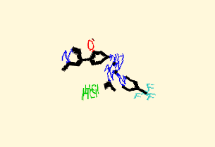 COc1cc(Nc2nc(N3CCC(C(F)(F)F)CC3)n(C(C)C)n2)ccc1-c1ccnc(C)c1.Cl.Cl